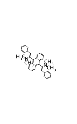 CN(C)C(=Cc1ccccc1)c1c2ccccc2c(C(=Cc2ccccc2)N(C)C)c2ccccc12